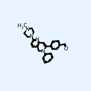 CN1CCN(c2ccc3c(n2)C=C(c2ccc(C=O)cc2)N(c2ccccc2)C3)CC1